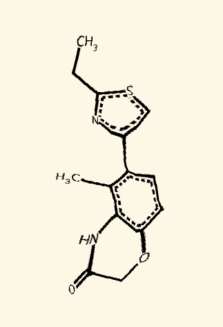 CCc1nc(-c2ccc3c(c2C)NC(=O)CO3)cs1